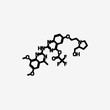 COc1cc(OC)c2nc(Nc3nc(OC(=O)C(F)(F)F)c4cc(OCCN5CCCC5CO)ccc4n3)nc(C)c2c1